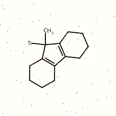 C[C]1([Ti])C2=C(CCCC2)C2=C1CCCC2